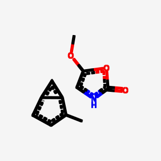 COc1c[nH]c(=O)o1.Cc1ccc2cc1-2